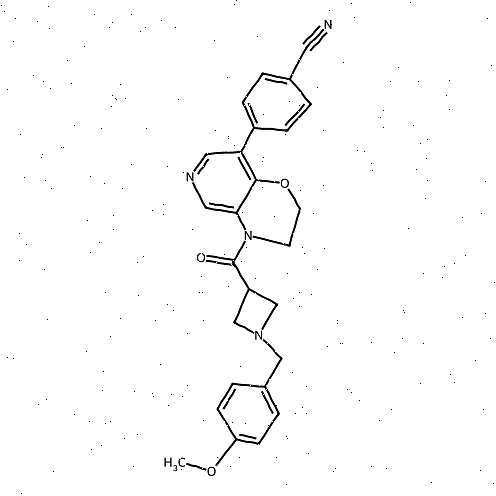 COc1ccc(CN2CC(C(=O)N3CCOc4c(-c5ccc(C#N)cc5)cncc43)C2)cc1